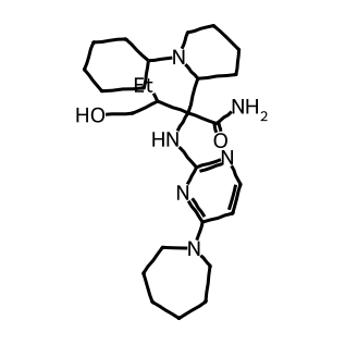 CCC(CO)C(Nc1nccc(N2CCCCCC2)n1)(C(N)=O)C1CCCCN1C1CCCCC1